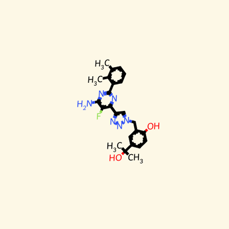 Cc1cccc(-c2nc(N)c(F)c(-c3cn(Cc4cc(C(C)(C)O)ccc4O)nn3)n2)c1C